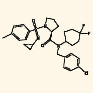 Cc1ccc(S(=O)(=NC2CC2)N2CCC[C@H]2C(=O)N(Cc2ccc(Cl)cc2)C2CCC(F)(F)CC2)cc1